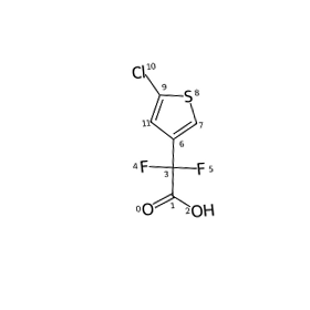 O=C(O)C(F)(F)c1csc(Cl)c1